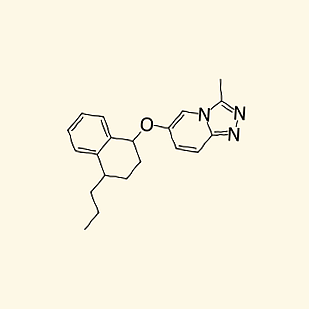 CCCC1CCC(Oc2ccc3nnc(C)n3c2)c2ccccc21